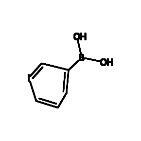 OB(O)C1=CC=CI=C1